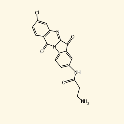 NCCC(=O)Nc1ccc2c(c1)C(=O)c1nc3cc(Cl)ccc3c(=O)n1-2